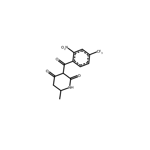 CC1CC(=O)C(C(=O)c2ccc(C(F)(F)F)cc2[N+](=O)[O-])C(=O)N1